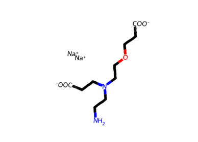 NCCN(CCOCCC(=O)[O-])CCC(=O)[O-].[Na+].[Na+]